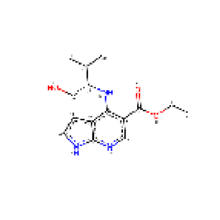 CCOC(=O)c1cnc2[nH]ccc2c1N[C@H](CO)C(C)C